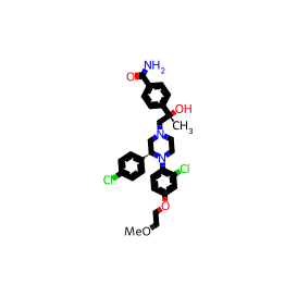 COCCOc1ccc(N2CCN(C[C@](C)(O)c3ccc(C(N)=O)cc3)C[C@H]2c2ccc(Cl)cc2)c(Cl)c1